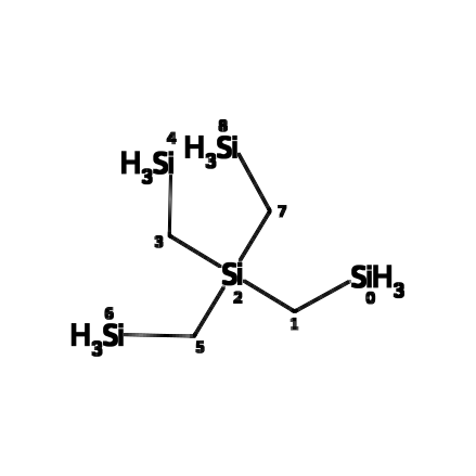 [SiH3]C[Si](C[SiH3])(C[SiH3])C[SiH3]